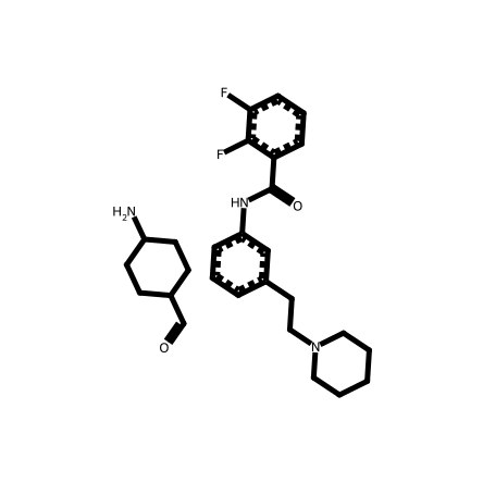 NC1CCC(C=O)CC1.O=C(Nc1cccc(CCN2CCCCC2)c1)c1cccc(F)c1F